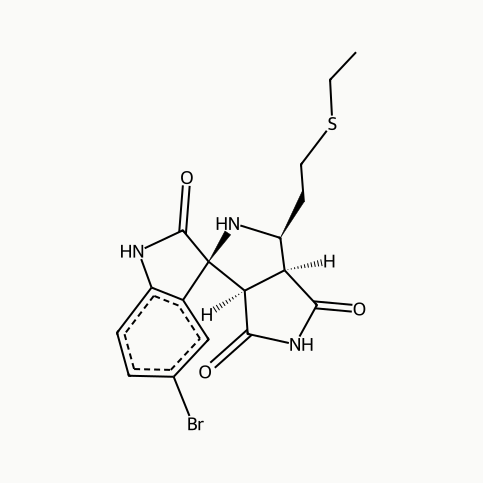 CCSCC[C@@H]1N[C@@]2(C(=O)Nc3ccc(Br)cc32)[C@@H]2C(=O)NC(=O)[C@H]12